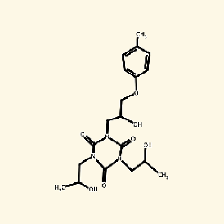 Cc1ccc(OCC(O)Cn2c(=O)n(CC(C)O)c(=O)n(CC(C)O)c2=O)cc1